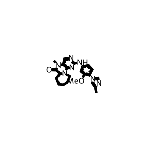 COc1cc(Nc2ncc3c(n2)N2CCCCCC2C(=O)N3C)ccc1-n1cnc(C)c1